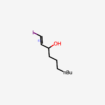 CCCCCCCC(O)/C=C/I